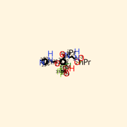 CCCS(=O)(=O)NCCCN(C(=O)c1cc(Cl)cc(OCCNc2ccncc2)c1)C(C)C.O=C(O)C(F)(F)F